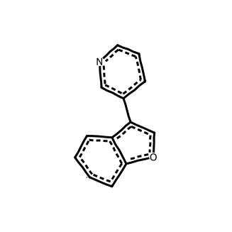 [c]1ccc2c(-c3cccnc3)coc2c1